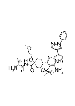 COCCO[C@]1(C(=O)NNC(=N)N)CC[C@H](c2nc3c(-c4cnn(-c5ccccc5)c4)cnn3c(N)c2S(C)(=O)=O)CC1